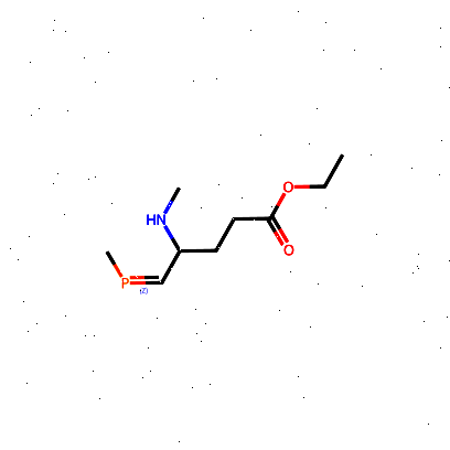 CCOC(=O)CCC(/C=P\C)NC